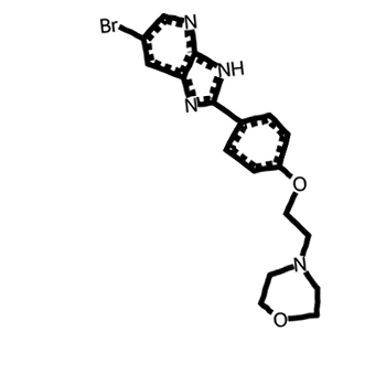 Brc1cnc2[nH]c(-c3ccc(OCCN4CCOCC4)cc3)nc2c1